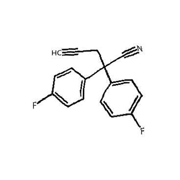 C#CCC(C#N)(c1ccc(F)cc1)c1ccc(F)cc1